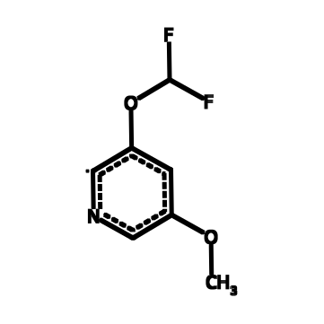 COc1cn[c]c(OC(F)F)c1